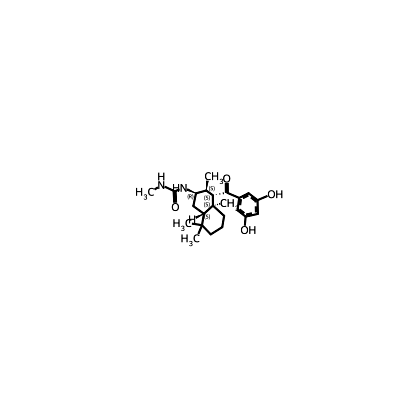 CNC(=O)N[C@@H]1C[C@H]2C(C)(C)CCC[C@]2(C)[C@@H](C(=O)c2cc(O)cc(O)c2)[C@@H]1C